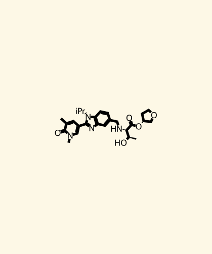 Cc1cc(-c2nc3cc(CN[C@H](C(=O)O[C@@H]4CCOC4)[C@@H](C)O)ccc3n2C(C)C)cn(C)c1=O